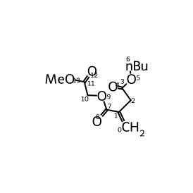 C=C(CC(=O)OCCCC)C(=O)OCC(=O)OC